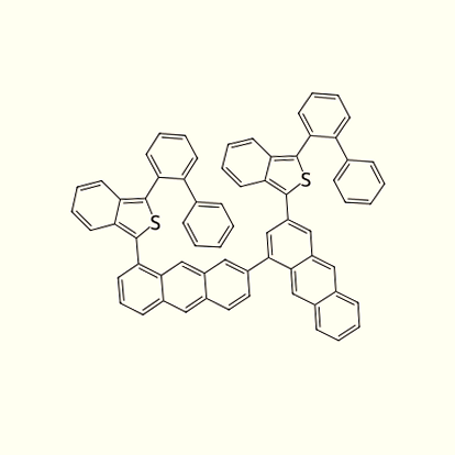 c1ccc(-c2ccccc2-c2sc(-c3cc(-c4ccc5cc6cccc(-c7sc(-c8ccccc8-c8ccccc8)c8ccccc78)c6cc5c4)c4cc5ccccc5cc4c3)c3ccccc23)cc1